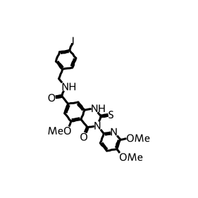 COc1ccc(-n2c(=S)[nH]c3cc(C(=O)NCc4ccc(I)cc4)cc(OC)c3c2=O)nc1OC